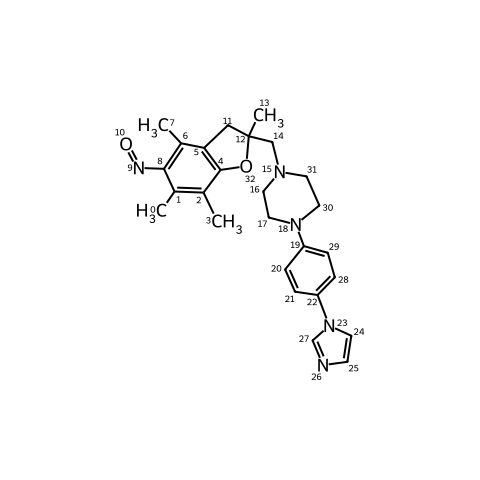 Cc1c(C)c2c(c(C)c1N=O)CC(C)(CN1CCN(c3ccc(-n4ccnc4)cc3)CC1)O2